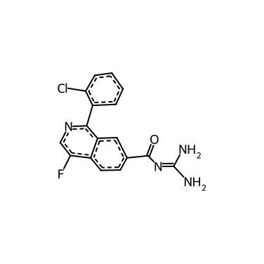 NC(N)=NC(=O)c1ccc2c(F)cnc(-c3ccccc3Cl)c2c1